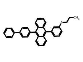 CCCSc1cccc(-c2c3ccccc3c(-c3ccc(-c4ccccc4)cc3)c3ccccc23)c1